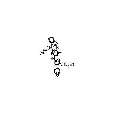 CCOC(=O)c1nc(N(C)c2cc(C)c(N=c3sc4ccccc4n3COCC[Si](C)(C)C)nn2)sc1C1CCN(C)CC1